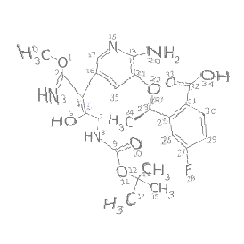 COC(=N)/C(=C(\O)CNC(=O)OC(C)(C)C)c1cnc(N)c(O[C@H](C)c2cc(F)ccc2C(=O)O)c1